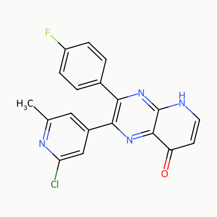 Cc1cc(-c2nc3c(=O)cc[nH]c3nc2-c2ccc(F)cc2)cc(Cl)n1